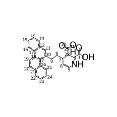 O=C(O)C1NC=CC(CCc2cc3ccccc3c3ccc4ccccc4c23)C1C(=O)O